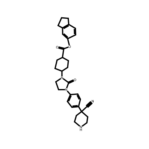 N#CC1(c2ccc(N3CCN(C4CCC(C(=O)Oc5ccc6c(c5)CCC6)CC4)C3=O)cc2)CCNCC1